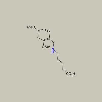 COc1ccc(CNCCCCC(=O)O)c(OC)c1